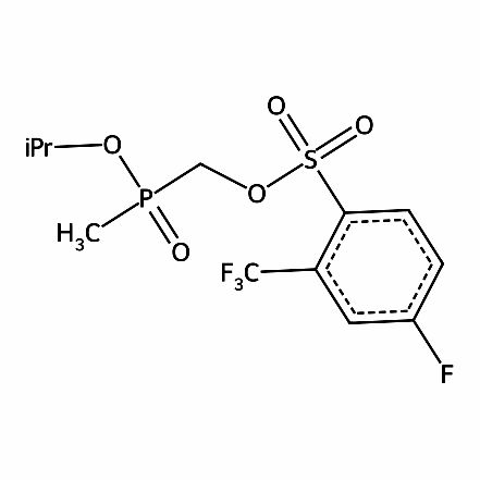 CC(C)OP(C)(=O)COS(=O)(=O)c1ccc(F)cc1C(F)(F)F